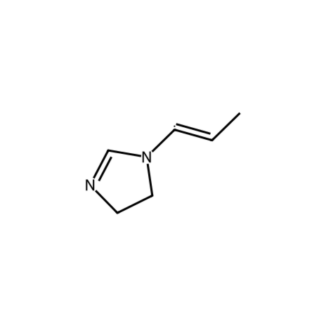 C/C=[C]/N1C=NCC1